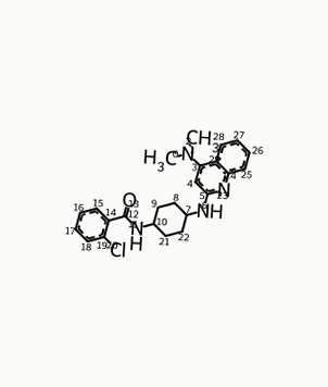 CN(C)c1cc(NC2CCC(NC(=O)c3ccccc3Cl)CC2)nc2ccccc12